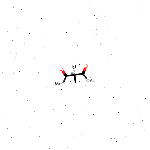 CC[C@](C)(C(=O)OC)C(=O)OC(C)=O